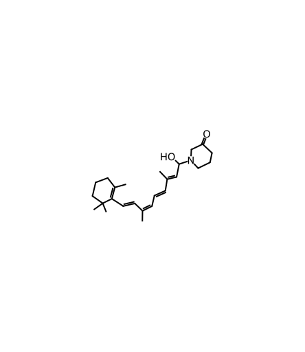 CC1=C(/C=C/C(C)=C\C=C\C(C)=C\C(O)N2CCCC(=O)C2)C(C)(C)CCC1